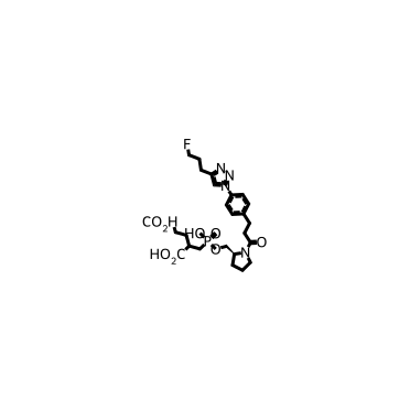 O=C(O)CCC(CP(=O)(O)OC[C@@H]1CCCN1C(=O)CCc1ccc(-n2cc(CCCF)nn2)cc1)C(=O)O